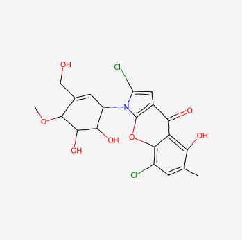 COC1C(CO)=CC(n2c(Cl)cc3c(=O)c4c(O)c(C)cc(Cl)c4oc32)C(O)C1O